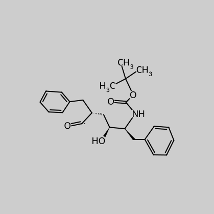 CC(C)(C)OC(=O)N[C@@H](Cc1ccccc1)[C@@H](O)C[C@H]([C]=O)Cc1ccccc1